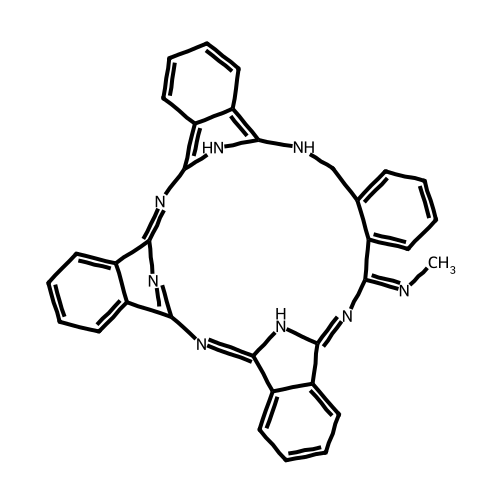 C/N=C1/N=c2\[nH]/c(c3ccccc23)=N\C2=NC(=N\c3[nH]c(c4ccccc34)NCc3ccccc31)/c1ccccc12